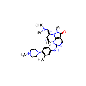 C/C=C\C(=C/N(C=O)C(C)C)n1c2nc(Nc3ccc(N4CCN(C)CC4)c(C)c3)ncc2c(=O)n1C(C)C